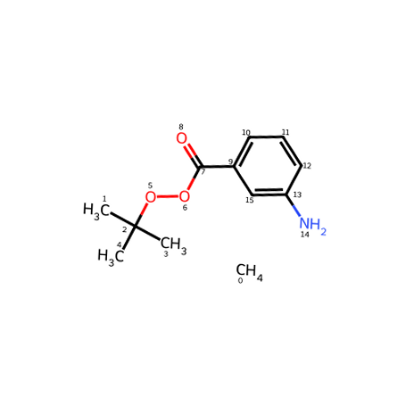 C.CC(C)(C)OOC(=O)c1cccc(N)c1